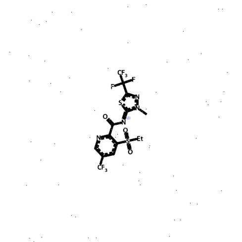 CCS(=O)(=O)c1cc(C(F)(F)F)cnc1C(=O)/N=c1\sc(C(F)(F)C(F)(F)F)nn1C